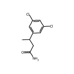 [CH2]C(CC(N)=O)c1cc(Cl)cc(Cl)c1